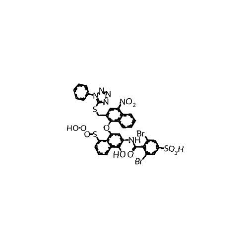 O=C(Nc1cc(Oc2c(CSc3nnnn3-c3ccccc3)cc([N+](=O)[O-])c3ccccc23)c2c(SOOO)cccc2c1O)c1c(Br)cc(S(=O)(=O)O)cc1Br